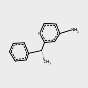 C[C@H](c1ccccc1)c1cc(N)ccn1